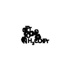 Cc1cc(C(=O)N2CCC3(CC2)C[C@H](OC(C)C)C[C@H](c2cccnc2)O3)ccc1OC(C)C